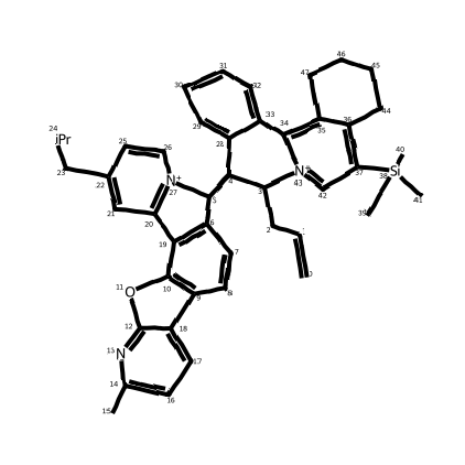 C=CCC1C(C2c3ccc4c(oc5nc(C)ccc54)c3-c3cc(CC(C)C)cc[n+]32)c2ccccc2-c2c3c(c([Si](C)(C)C)c[n+]21)CCCC3